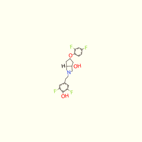 Oc1c(F)cc(CCN2C[C@H]3C[C@H](Oc4ccc(F)cc4F)C[C@@]3(O)C2)cc1F